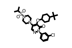 CC(C)S(=O)(=O)N1CCN(c2cnn(-c3cccc(Cl)c3)c(=O)c2OC2CCC(C(C)(C)C)CC2)CC1